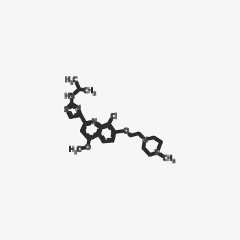 COc1cc(-c2csc(NC(C)C)n2)nc2c(Cl)c(OCCN3CCN(C)CC3)ccc12